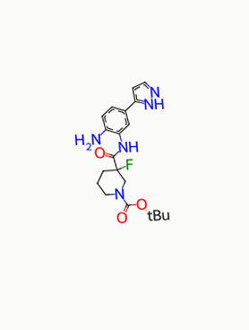 CC(C)(C)OC(=O)N1CCCC(F)(C(=O)Nc2cc(-c3ccn[nH]3)ccc2N)C1